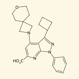 O=C(O)c1cc(N2CC3(CCOCC3)C2)c2c(C3CCC3)nn(-c3ccccc3)c2n1